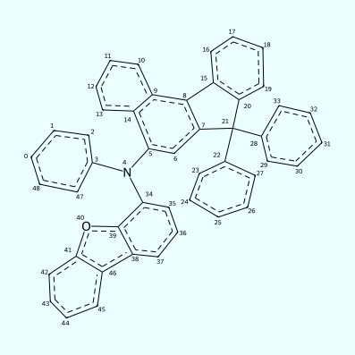 c1ccc(N(c2cc3c(c4ccccc24)-c2ccccc2C3(c2ccccc2)c2ccccc2)c2cccc3c2oc2ccccc23)cc1